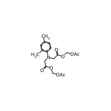 CC(=O)OCOC(=O)CN(CC(=O)OCOC(C)=O)c1ccc(C)cc1C